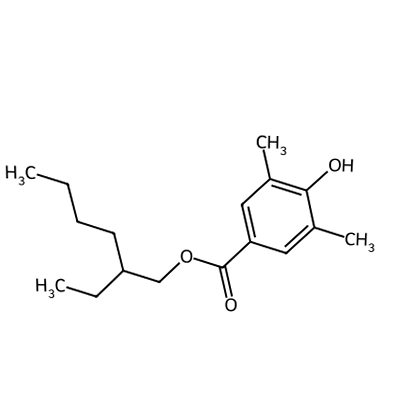 CCCCC(CC)COC(=O)c1cc(C)c(O)c(C)c1